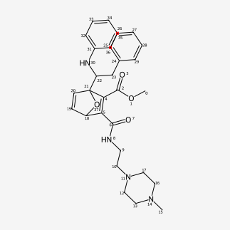 COC(=O)C1=C(C(=O)NCCN2CCN(C)CC2)C2C=CC1(C(Cc1ccccc1)Nc1ccccc1)O2